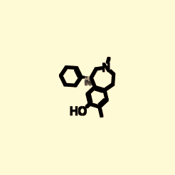 Cc1cc2c(cc1O)[C@H](C1=CCCCC1)CN(C)CC2